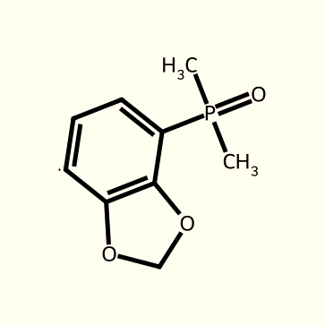 CP(C)(=O)c1cc[c]c2c1OCO2